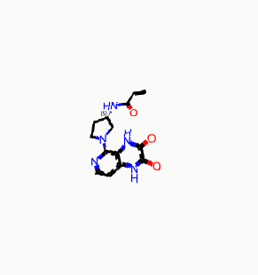 C=CC(=O)N[C@H]1CCN(c2nccc3[nH]c(=O)c(=O)[nH]c23)C1